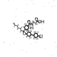 CCCCCCC(Oc1ccc(-c2ccc(Cl)cc2)cc1)c1ccc(C(=O)NCCC(=O)O)cc1